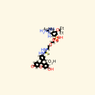 CCC(CC)O[C@@H]1C=C(P(=O)(O)OCCOCCNC(=S)Nc2ccc(-c3c4ccc(=O)cc-4oc4cc(O)ccc34)c(C(=O)O)c2)C[C@H](NC(=N)N)[C@H]1NC(C)=O